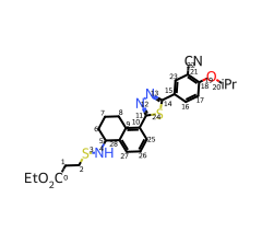 CCOC(=O)CCSNC1CCCc2c(-c3nnc(-c4ccc(OC(C)C)c(C#N)c4)s3)cccc21